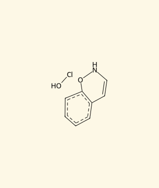 C1=Cc2ccccc2ON1.OCl